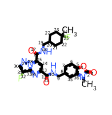 Cn1c(=O)oc2ccc(CNC(=O)c3cc(C(=O)NCC4CCC(C)(F)CC4)n4ncc(F)c4n3)cc21